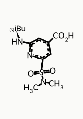 CC[C@H](C)Nc1cc(C(=O)O)cc(S(=O)(=O)N(C)C)n1